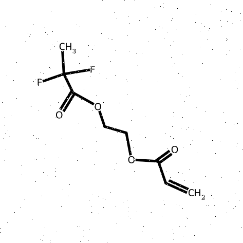 C=CC(=O)OCCOC(=O)C(C)(F)F